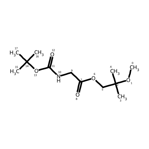 COC(C)(C)COC(=O)CNC(=O)OC(C)(C)C